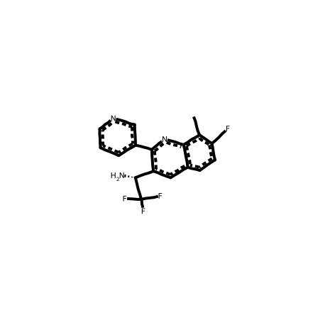 Cc1c(F)ccc2cc([C@@H](N)C(F)(F)F)c(-c3cccnc3)nc12